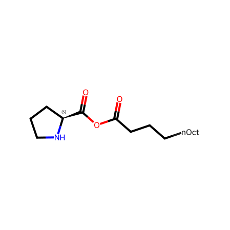 CCCCCCCCCCCC(=O)OC(=O)[C@@H]1CCCN1